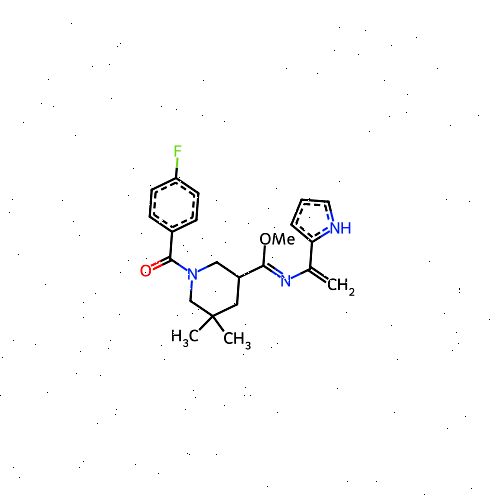 C=C(/N=C(\OC)C1CN(C(=O)c2ccc(F)cc2)CC(C)(C)C1)c1ccc[nH]1